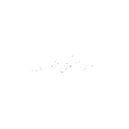 CN(C)CCOc1cc(F)cc(-c2nccc3[nH]c(-c4n[nH]c5ccc(-c6cncc(CN7CCCCC7)c6)nc45)nc23)c1